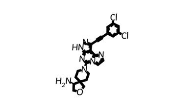 N[C@@H]1COCC12CCN(c1nc3[nH]nc(C#Cc4cc(Cl)cc(Cl)c4)c3c3nccn13)CC2